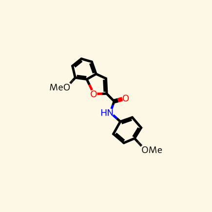 COc1ccc(NC(=O)c2cc3cccc(OC)c3o2)cc1